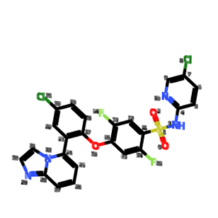 O=S(=O)(Nc1ccc(Cl)cn1)c1cc(F)c(Oc2ccc(Cl)cc2-c2cccc3nccn23)cc1F